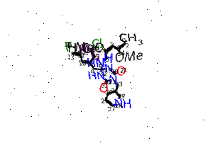 C/C=C(\C=C(/CNC1(CC(=C/C(P)=C/F)/C=C(\C)Cl)NC(=O)N(CC2CC=CNC2)C(=O)N1)OC)OC